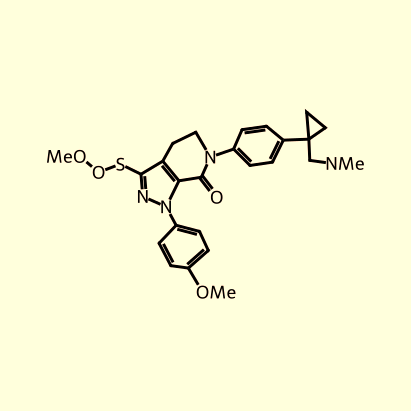 CNCC1(c2ccc(N3CCc4c(SOOC)nn(-c5ccc(OC)cc5)c4C3=O)cc2)CC1